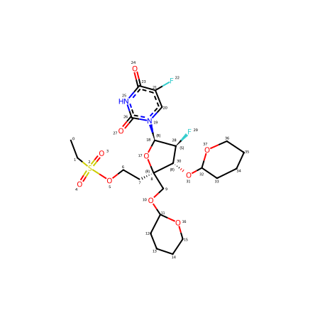 CCS(=O)(=O)OCC[C@]1(COC2CCCCO2)O[C@@H](n2cc(F)c(=O)[nH]c2=O)[C@@H](F)[C@@H]1OC1CCCCO1